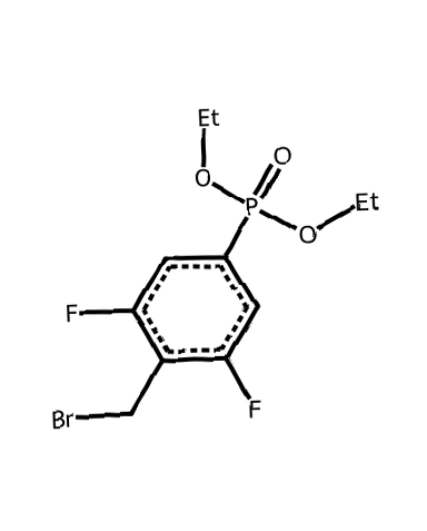 CCOP(=O)(OCC)c1cc(F)c(CBr)c(F)c1